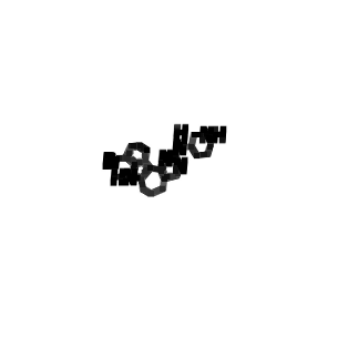 Brc1cccc2c3c([nH]c12)CCCc1cnc(NC2CCCNC2)nc1-3